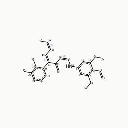 C=Cc1c(CC)cc(N/C=C\C(=C)/C(=C\C=C/C)c2cccc(C)c2C)cc1CC